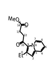 CCc1cc2ccccn2c1C(=O)CCC(=O)OC